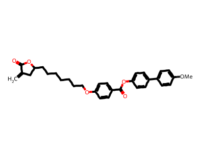 C=C1CC(CCCCCCCOc2ccc(C(=O)Oc3ccc(-c4ccc(OC)cc4)cc3)cc2)OC1=O